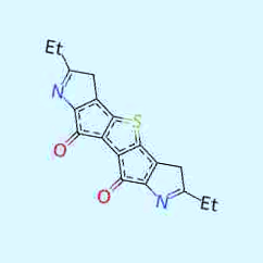 CCC1=Nc2c(c3sc4c5c(c(=O)c4c3c2=O)N=C(CC)C5)C1